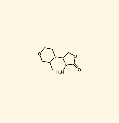 CC1COCCN1C1COC(=O)N1N